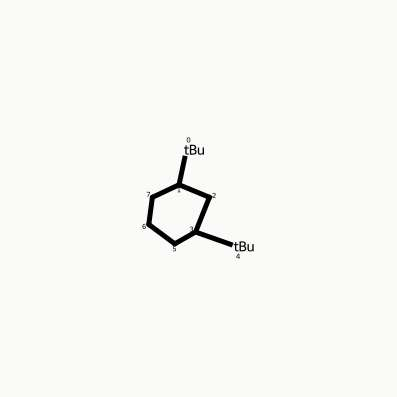 CC(C)(C)C1[CH]C(C(C)(C)C)CCC1